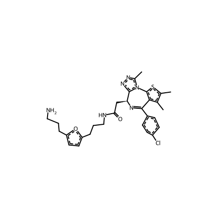 Cc1sc2c(c1C)C(c1ccc(Cl)cc1)=N[C@@H](CC(=O)NCCCc1ccc(CCCN)o1)c1nnc(C)n1-2